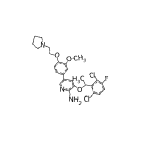 COc1cc(-c2cnc(N)c(OC(C)c3c(Cl)ccc(F)c3Cl)c2)ccc1OCCN1CCCC1